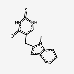 Cn1c(Cc2c[nH]c(=S)[nH]c2=O)cc2ccccc21